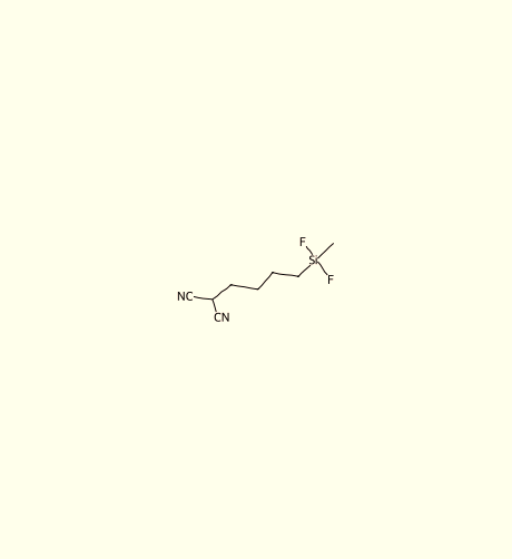 C[Si](F)(F)CCCCC(C#N)C#N